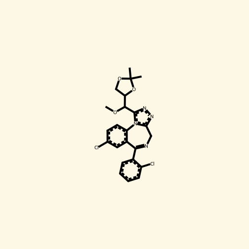 COC(c1nnc2n1-c1ccc(Cl)cc1C(c1ccccc1Cl)=NC2)C1COC(C)(C)O1